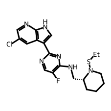 CCSN1CCCC[C@@H]1CNc1nc(-c2c[nH]c3ncc(Cl)cc23)ncc1F